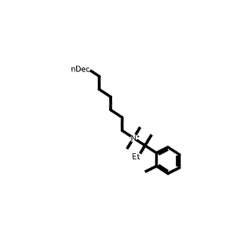 CCCCCCCCCCCCCCCC[N+](C)(C)C(C)(CC)c1ccccc1C